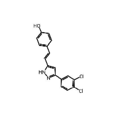 Oc1ccc(C=Cc2cc(-c3ccc(Cl)c(Cl)c3)n[nH]2)cc1